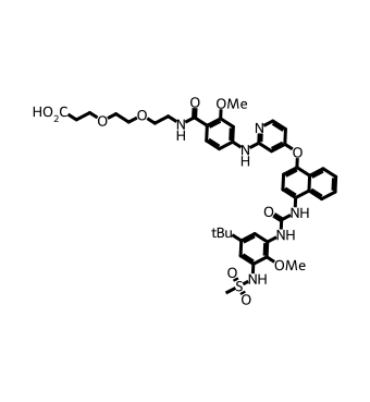 COc1cc(Nc2cc(Oc3ccc(NC(=O)Nc4cc(C(C)(C)C)cc(NS(C)(=O)=O)c4OC)c4ccccc34)ccn2)ccc1C(=O)NCCOCCOCCC(=O)O